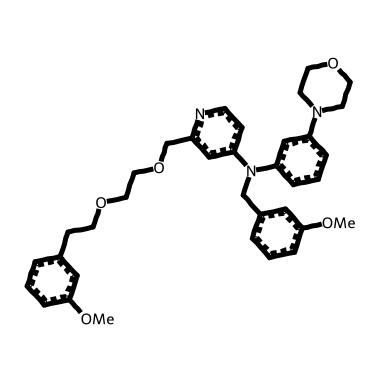 COc1cccc(CCOCCOCc2cc(N(Cc3cccc(OC)c3)c3cccc(N4CCOCC4)c3)ccn2)c1